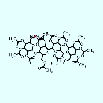 CCC1O[C@H](O[C@@H]2C(COC(C)=O)O[C@@H]([C@H]3OC(COC(C)=O)[C@@H](O[C@H]4OC(CC)[C@@H](OC(C)=O)[C@H](OC(C)=O)C4OC(C)=O)[C@H](OC(C)=O)C3OC(C)=O)C(OC(C)=O)[C@H]2OC(C)=O)C(OC(C)=O)[C@@H](OC(C)=O)[C@@H]1OC(C)=O